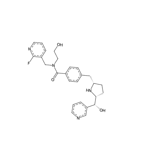 O=C(c1ccc(C[C@@H]2CC[C@H]([C@H](O)c3cccnc3)N2)cc1)N(CCO)Cc1cccnc1F